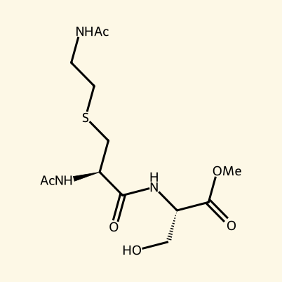 COC(=O)[C@H](CO)NC(=O)[C@H](CSCCNC(C)=O)NC(C)=O